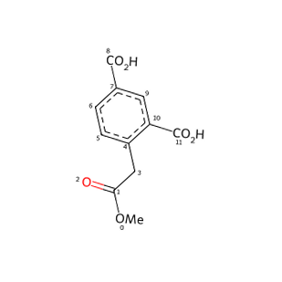 COC(=O)Cc1ccc(C(=O)O)cc1C(=O)O